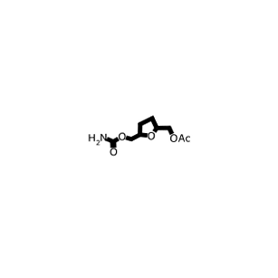 CC(=O)OCC1CCC(COC(N)=O)O1